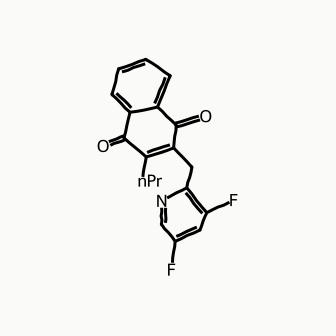 CCCC1=C(Cc2ncc(F)cc2F)C(=O)c2ccccc2C1=O